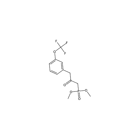 COP(=O)(CC(=O)Cc1cccc(OC(F)(F)F)c1)OC